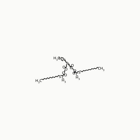 CCCCCCCCCCCCCCSCC(C)C(=O)OCCOC(=O)CCN(CCCN1CCN(C)CC1)CCC(=O)OCCOC(=O)C(C)CSCCCCCCCCCCCCCC